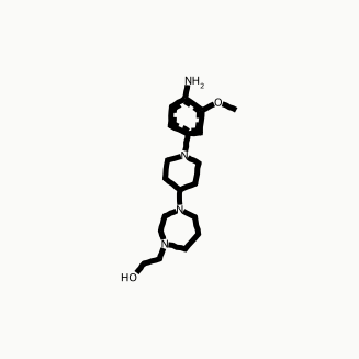 COc1cc(N2CCC(N3CCCN(CCO)CC3)CC2)ccc1N